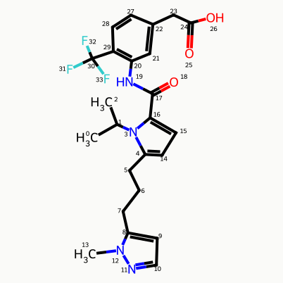 CC(C)n1c(CCCc2ccnn2C)ccc1C(=O)Nc1cc(CC(=O)O)ccc1C(F)(F)F